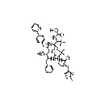 Cc1nc(CN2CCN(C(C(=O)NC(Cc3ccccc3)C(O)CC(Cc3ccc(-c4ccccn4)cc3)NC(=O)C(NC(=O)O)C(C)(C)C)C(C)(C)C)C2=O)cs1